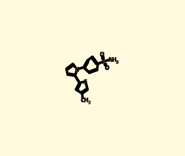 Cc1csc(-c2cccn2-c2ccc(S(N)(=O)=O)cc2)c1